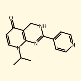 CC(C)n1ccc(=O)c2c1N=C(c1ccncc1)NC2